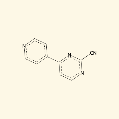 N#Cc1nccc(-c2ccncc2)n1